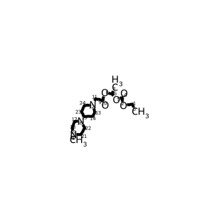 CCOC(=O)OC(C)OC(=O)CN1CCC(N2CCN(C)CC2)CC1